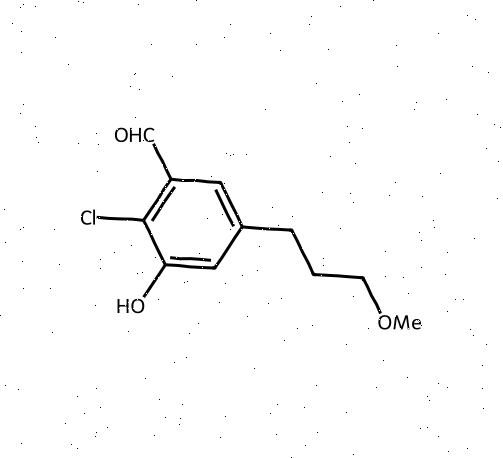 COCCCc1cc(O)c(Cl)c(C=O)c1